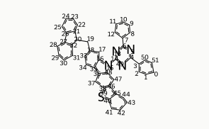 c1ccc(-c2nc(-c3ccccc3)nc(-n3c4cc(CC5c6ccccc6-c6ccccc65)ccc4c4cc5sc6ccccc6c5cc43)n2)cc1